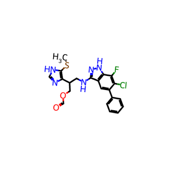 CSc1[nH]cnc1C(CNc1n[nH]c2c(F)c(Cl)c(-c3ccccc3)cc12)COC=O